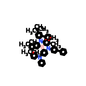 Cc1cc2c3c(c1)N(c1ccc(C(C)(C)C)cc1-c1ccccc1)c1cc4c(cc1B3c1cc(N(c3ccccc3)c3ccccc3)ccc1N2c1ccc(-c2ccccc2)cc1C)C(C)(C)CC4(C)C